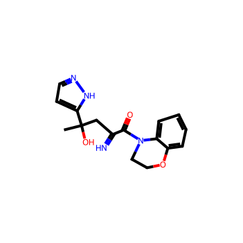 CC(O)(CC(=N)C(=O)N1CCOc2ccccc21)c1ccn[nH]1